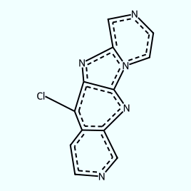 Clc1c2ccncc2nc2c1nc1cnccn12